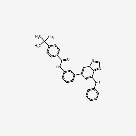 CC(C)(C)c1ccc(C(=O)Nc2cccc(C3=CC4N=CN=C4C(Nc4ccccc4)=N3)c2)cc1